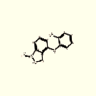 N#Cc1ccccc1Oc1cccc2c1COB2O